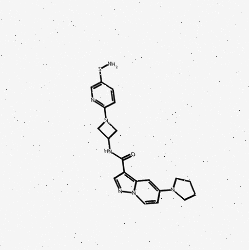 NSc1ccc(N2CC(NC(=O)c3cnn4ccc(N5CCCC5)cc34)C2)nc1